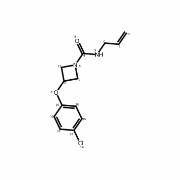 C=CCNC(=O)N1CC(Oc2ccc(Cl)cc2)C1